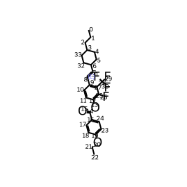 CCCC1CCC(/C=C/c2ccc(OC(=O)c3ccc(OCC)cc3)c(F)c2C(F)(F)F)CC1